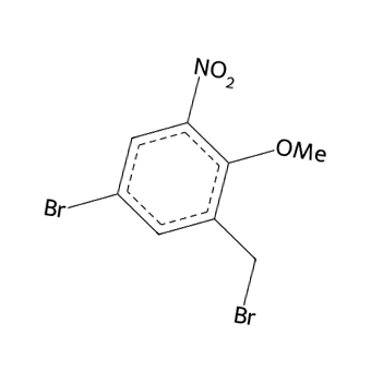 COc1c(CBr)cc(Br)cc1[N+](=O)[O-]